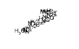 COC1(C(=O)NC(=O)Nc2ccc(Oc3ccnc(-c4cnn(C)c4)c3)cn2)CC1